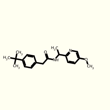 COc1ccc(C(C)NC(=O)Cc2ccc(C(C)(C)C)cc2)nc1